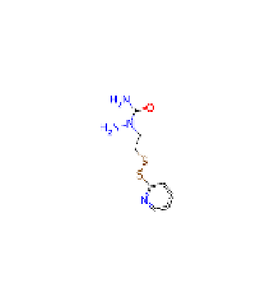 NC(=O)N(N)CCSSc1ccccn1